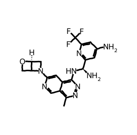 Cc1nnc(N[C@H](N)c2cc(N)cc(C(F)(F)F)n2)c2cc(N3C[C@@H]4OCC43)ncc12